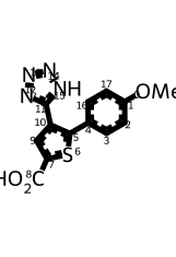 COc1ccc(-c2sc(C(=O)O)cc2-c2nnn[nH]2)cc1